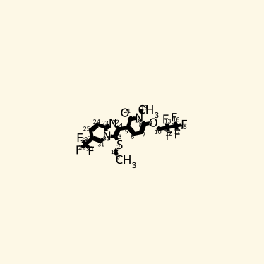 CCSc1c(-c2ccc(OCC(F)(F)C(F)(F)F)n(C)c2=O)nc2ccc(C(F)(F)F)cn12